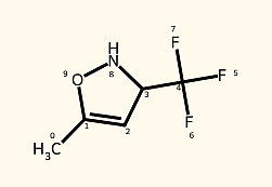 CC1=CC(C(F)(F)F)NO1